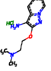 CN(C)CCOc1nn2ccccc2c1N.Cl